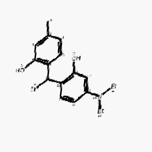 CCC(c1ccc(C)cc1O)c1ccc(N(CC)CC)cc1O